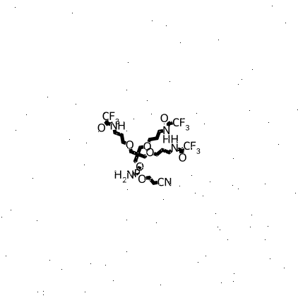 N#CCCOP(N)OCC(COCCCNC(=O)C(F)(F)F)(COCCCNC(=O)C(F)(F)F)COCCCNC(=O)C(F)(F)F